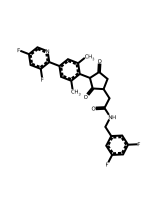 Cc1cc(-c2ncc(F)cc2F)cc(C)c1C1C(=O)CC(CC(=O)NCc2cc(F)cc(F)c2)C1=O